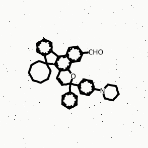 O=Cc1ccc2c3c(c4c(c2c1)OC(c1ccccc1)(c1ccc(N2CCCCC2)cc1)C=C4)C1(CCCCCCC1)c1ccccc1-3